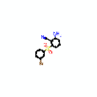 N#Cc1c(N)cccc1S(=O)(=O)c1cccc(Br)c1